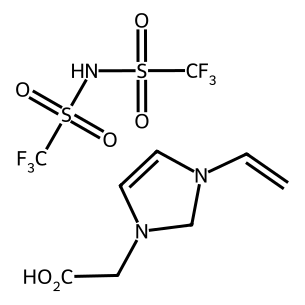 C=CN1C=CN(CC(=O)O)C1.O=S(=O)(NS(=O)(=O)C(F)(F)F)C(F)(F)F